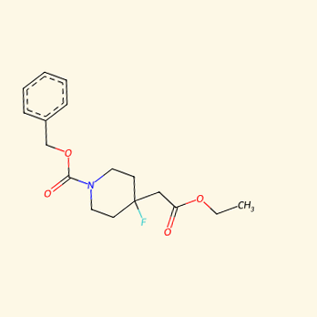 CCOC(=O)CC1(F)CCN(C(=O)OCc2ccccc2)CC1